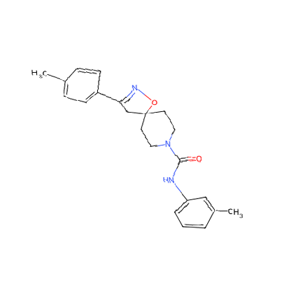 Cc1ccc(C2=NOC3(CCN(C(=O)Nc4cccc(C)c4)CC3)C2)cc1